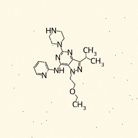 CCOCCn1nc(C(C)C)c2nc(N3CCNCC3)nc(Nc3ccccn3)c21